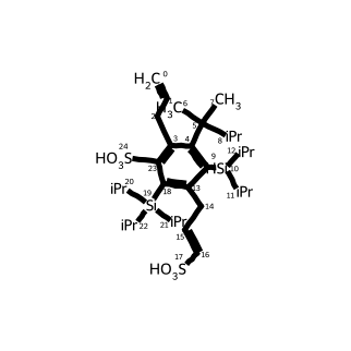 C=CCc1c(C(C)(C)C(C)C)c([SiH](C(C)C)C(C)C)c(CC=CS(=O)(=O)O)c([Si](C(C)C)(C(C)C)C(C)C)c1S(=O)(=O)O